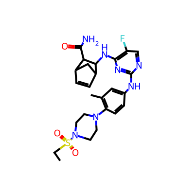 CCS(=O)(=O)N1CCN(c2ccc(Nc3ncc(F)c(NC4C5C=CC(C5)C4C(N)=O)n3)cc2C)CC1